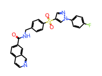 O=C(NCc1ccc(S(=O)(=O)c2cnn(-c3ccc(F)cc3)c2)cc1)c1ccc2ccncc2c1